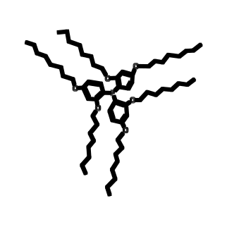 CCCCCCCCOc1ccc(P(c2ccc(OCCCCCCCC)cc2OCCCCCCCC)c2ccc(OCCCCCCCC)cc2OCCCCCCCC)c(OCCCCCCCC)c1